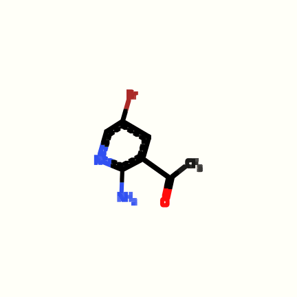 Nc1ncc(Br)cc1C(=O)C(F)(F)F